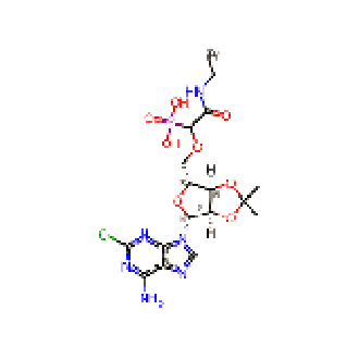 CC(C)CNC(=O)C(OC[C@H]1O[C@@H](n2cnc3c(N)nc(Cl)nc32)[C@@H]2OC(C)(C)O[C@@H]21)P(=O)(O)O